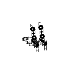 CC(C)(C)C(=O)[C]([Cu+2])(Oc1ccc(N=Nc2ccc(F)cc2)cc1)c1nc[nH]n1.CC(C)(C)C(=O)[C]([Cu+2])(Oc1ccc(N=Nc2ccc(F)cc2)cc1)c1nc[nH]n1.[Cl-].[Cl-].[Cl-].[Cl-]